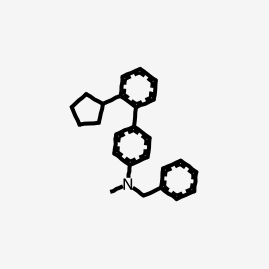 CN(Cc1ccccc1)c1ccc(-c2ccccc2C2CCCC2)cc1